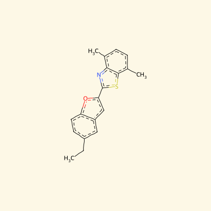 CCc1ccc2oc(-c3nc4c(C)ccc(C)c4s3)cc2c1